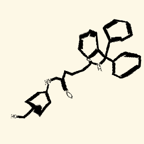 O=C(CCC(=O)NC(c1ccccc1)(c1ccccc1)c1ccccc1)Nc1ccc(CO)cc1